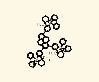 CC12CCCCC1(C)[Si](c1ccccc1)(c1ccccc1)c1ccc(-c3ccc4ccc5c(-c6ccc7c(c6)C6(C)CCCCC6(C)[Si]7(c6ccccc6)c6ccccc6)cc(-c6ccc7c(c6)C6(C)CCCCC6(C)[Si]7(c6ccccc6)c6ccccc6)c6ccc3c4c56)cc12